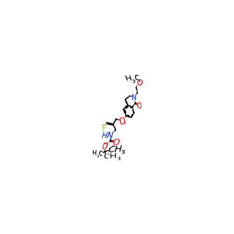 COCCN1CCc2cc(OC/C(=C/F)CNC(=O)OC(C)(C)C)ccc2C1=O